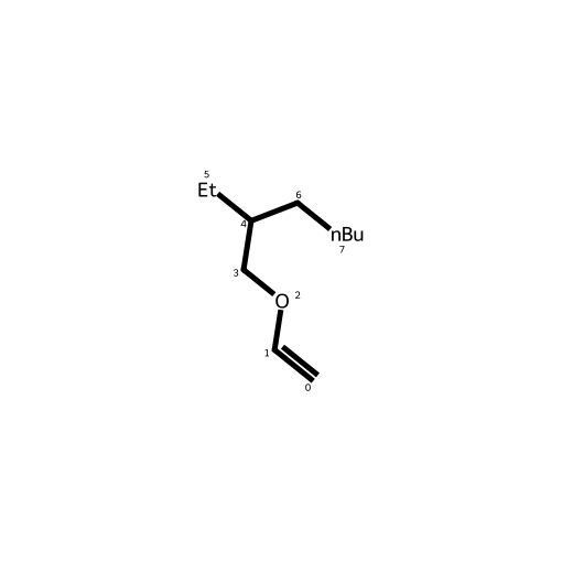 C=COCC(CC)CCCCC